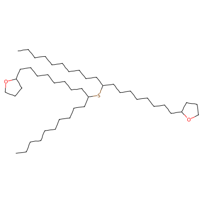 CCCCCCCCCCC(CCCCCCCCC1CCCO1)SC(CCCCCCCCCC)CCCCCCCCC1CCCO1